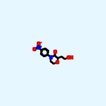 O=C1C(CCO)OCCN1c1ccc([N+](=O)[O-])cc1